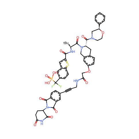 CC(C)(C)[C@H](NC(=O)c1cc2cc(C(F)(F)P(=O)(O)O)ccc2s1)C(=O)N1Cc2cc(OCC(=O)NCC#Cc3ccc4c(c3)C(=O)N(C3CCC(=O)NC3=O)C4=O)ccc2C[C@H]1C(=O)N1CCO[C@H](c2ccccc2)C1